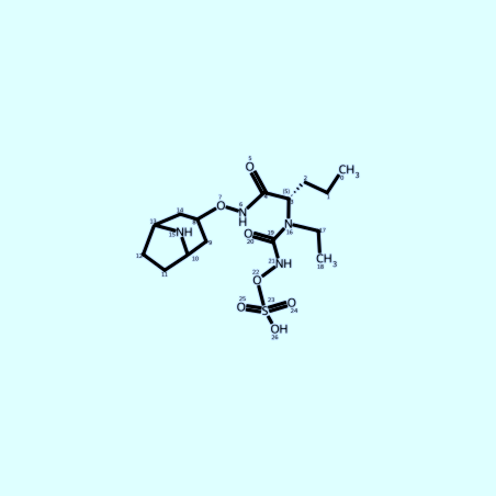 CCC[C@@H](C(=O)NOC1CC2CCC(C1)N2)N(CC)C(=O)NOS(=O)(=O)O